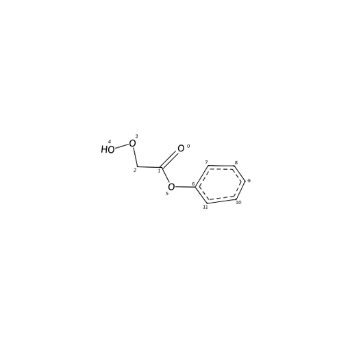 O=C(COO)Oc1ccccc1